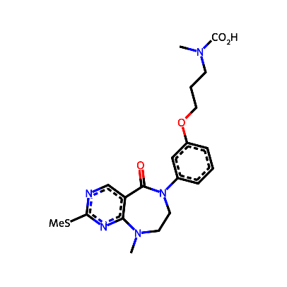 CSc1ncc2c(n1)N(C)CCN(c1cccc(OCCCN(C)C(=O)O)c1)C2=O